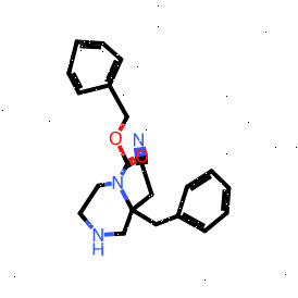 N#CCC1(Cc2ccccc2)CNCCN1C(=O)OCc1ccccc1